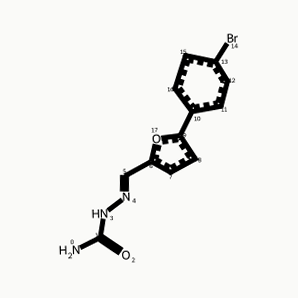 NC(=O)N/N=C/c1ccc(-c2ccc(Br)cc2)o1